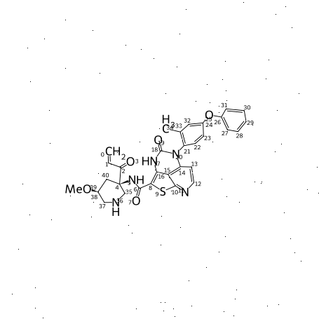 C=CC(=O)[C@]1(NC(=O)c2sc3nccc4c3c2NC(=O)N4c2ccc(Oc3ccccc3)cc2C)CNC[C@@H](OC)C1